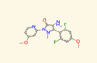 COc1ccnc(-n2c(=O)c(N)c(-c3c(F)cc(OC)cc3F)n2C)c1